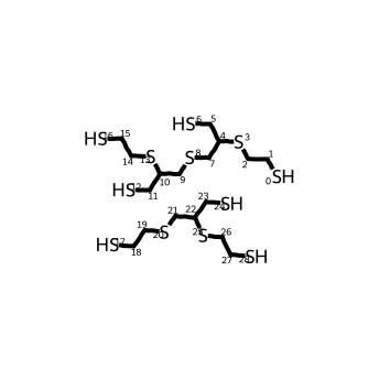 SCCSC(CS)CSCC(CS)SCCS.SCCSCC(CS)SCCS